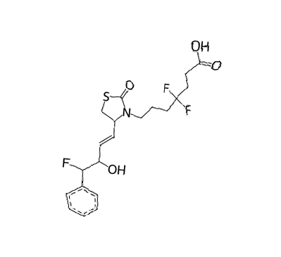 O=C(O)CCC(F)(F)CCCN1C(=O)SCC1C=CC(O)C(F)c1ccccc1